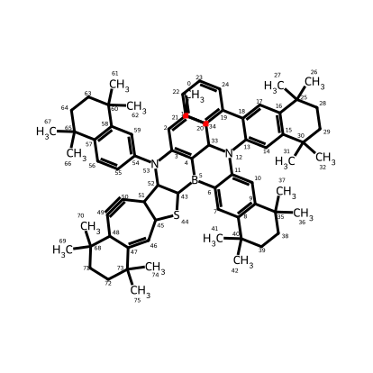 CC1=CC2=C3B(c4cc5c(cc4N(c4cc6c(cc4-c4ccccc4)C(C)(C)CCC6(C)C)C3C1)C(C)(C)CCC5(C)C)C1SC3C=C4C(C#CC3C1N2c1ccc2c(c1)C(C)(C)CCC2(C)C)C(C)(C)CCC4(C)C